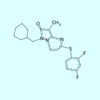 Cc1c(=O)n(CC2CCCCC2)n2ccc(Sc3ccc(F)cc3F)nc12